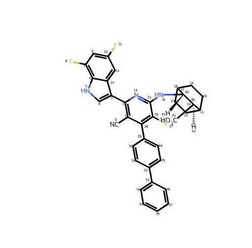 N#Cc1c(-c2c[nH]c3c(F)cc(F)cc23)nc(N[C@@H]2C3CCC(CC3)[C@H]2C(=O)O)c(F)c1-c1ccc(-c2ccccc2)cc1